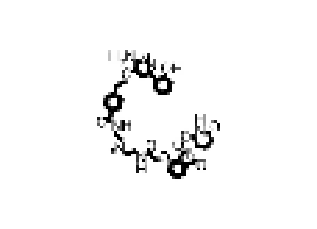 CN(CCNC(=O)COc1cccc2c1C(=O)N(C1CCC(=O)NC1=O)C2=O)CCNC(=O)c1ccc(CCOc2cc(-c3ccccc3O)nnc2N)cc1